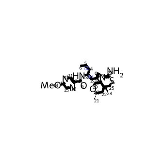 C=C(/C=C(\C=C/C)NC(=O)c1cnc(OC)cn1)[C@]12CO[C@@H](C)C[C@@]1(C)CSC(N)=N2